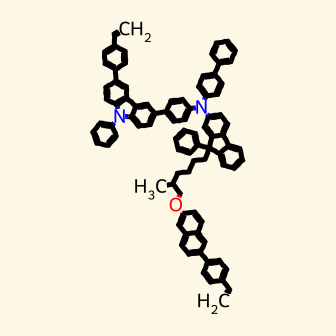 C=Cc1ccc(-c2ccc3cc(OCC(C)CCCCC4(c5ccccc5)c5ccccc5-c5ccc(N(c6ccc(-c7ccccc7)cc6)c6ccc(-c7ccc8c(c7)c7cc(-c9ccc(C=C)cc9)ccc7n8-c7ccccc7)cc6)cc54)ccc3c2)cc1